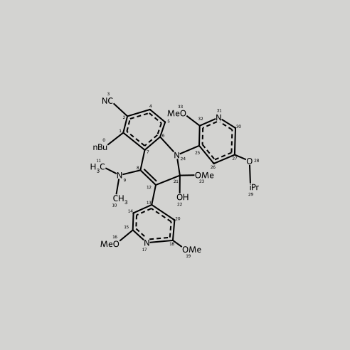 CCCCc1c(C#N)ccc2c1C(N(C)C)=C(c1cc(OC)nc(OC)c1)C(O)(OC)N2c1cc(OC(C)C)cnc1OC